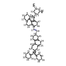 Fc1cc(F)cc(-n2c3cccc4ccc5c(/C=C/c6ccc7c(ccc8cc(N(c9ccccc9)c9ccccc9)ccc87)c6)ccc2c5c43)c1